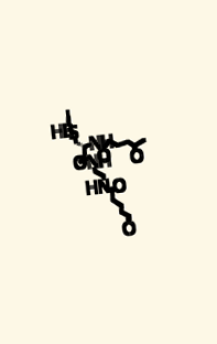 CC(=O)CCCC(=O)N[C@@H](CSBI)C(=O)NCCNC(=O)CCCC=O